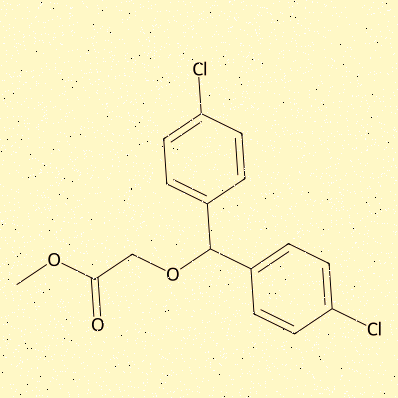 COC(=O)COC(c1ccc(Cl)cc1)c1ccc(Cl)cc1